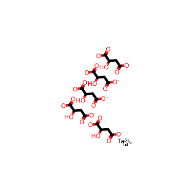 O=C([O-])CC(O)C(=O)[O-].O=C([O-])CC(O)C(=O)[O-].O=C([O-])CC(O)C(=O)[O-].O=C([O-])CC(O)C(=O)[O-].O=C([O-])CC(O)C(=O)[O-].[Ta+5].[Ta+5]